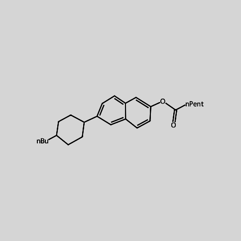 CCCCCC(=O)Oc1ccc2cc(C3CCC(CCCC)CC3)ccc2c1